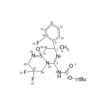 CC(C)(C)OC(=O)NC1=N[C@](C)(c2ccccc2F)CS2(=O)=NCC(F)(F)CN12